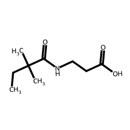 CCC(C)(C)C(=O)NCCC(=O)O